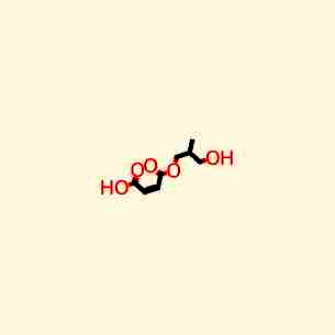 CC(CO)COC(=O)/C=C\C(=O)O